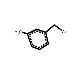 CC(=O)Cc1[c]ccc(C)c1